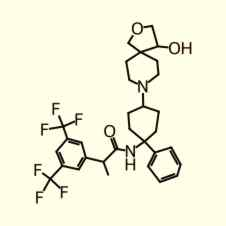 CC(C(=O)NC1(c2ccccc2)CCC(N2CCC3(CC2)COCC3O)CC1)c1cc(C(F)(F)F)cc(C(F)(F)F)c1